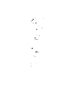 NC[C@H](NC(=O)c1coc([C@H](CN)NC(=O)c2coc([C@@H](N)CN)n2)n1)c1nc(C=O)co1